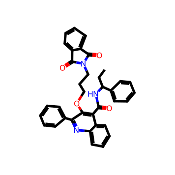 CCC(NC(=O)c1c(OCCCN2C(=O)c3ccccc3C2=O)c(-c2ccccc2)nc2ccccc12)c1ccccc1